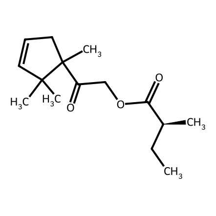 CC[C@H](C)C(=O)OCC(=O)C1(C)CC=CC1(C)C